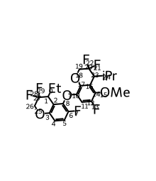 CCC1c2c(ccc(F)c2Oc2cc(F)c(OC)c3c2OCC(F)(F)C3C(C)C)OCC1(F)F